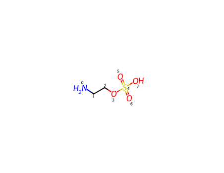 NCCOS(=O)(=O)O